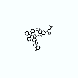 CCN(CCN(C)C)c1ccc(C(=O)Nc2nn(C(c3ccccc3)(c3ccccc3)c3ccccc3)c3ccc(S(=O)(=O)c4cc(F)cc(F)c4)cc23)c([N+](=O)[O-])c1